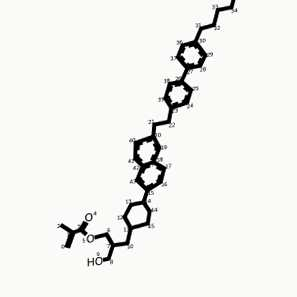 C=C(C)C(=O)OCC(CO)CC1CCC(c2ccc3cc(CCc4ccc(-c5ccc(CCCCC)cc5)cc4)ccc3c2)CC1